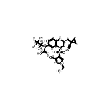 CCn1cc(S(=O)(=O)N2C[C@H](CC3(C#N)CC3)Oc3ccc(N(C(=O)O)C(C)(C)C(F)(F)F)cc32)c(Cl)n1